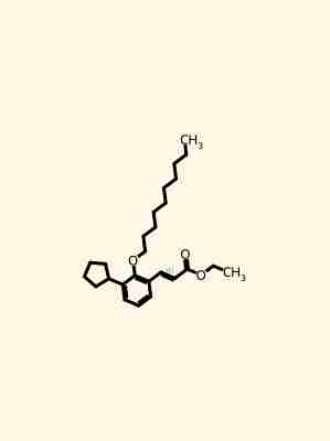 CCCCCCCCCCOc1c(/C=C/C(=O)OCC)cccc1C1CCCC1